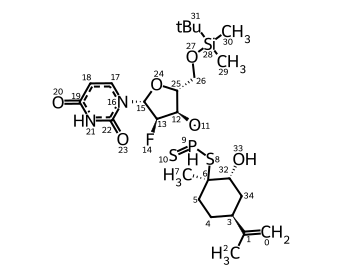 C=C(C)[C@H]1CC[C@@](C)(S[PH](=S)O[C@H]2[C@@H](F)[C@H](n3ccc(=O)[nH]c3=O)O[C@@H]2CO[Si](C)(C)C(C)(C)C)[C@H](O)C1